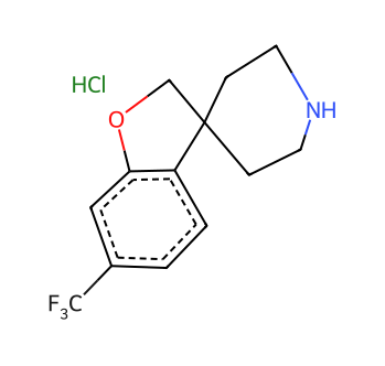 Cl.FC(F)(F)c1ccc2c(c1)OCC21CCNCC1